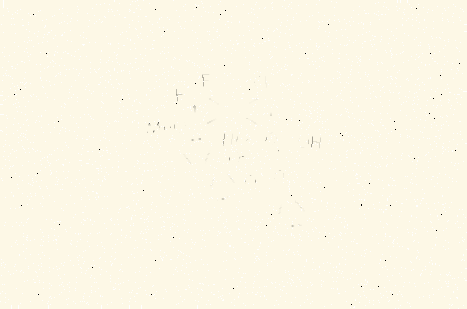 COc1ccc(Cc2cc([C@@]3(O)OC(C)(CO)[C@@H](OCc4ccccc4)[C@H](Oc4ccccc4)[C@H]3OCc3ccccc3)ccc2Cl)c(F)c1F